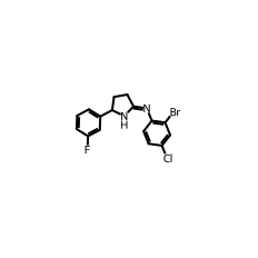 Fc1cccc(C2CCC(=Nc3ccc(Cl)cc3Br)N2)c1